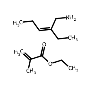 C=C(C)C(=O)OCC.CCC=C(CC)CN